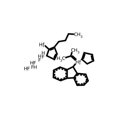 CCCCC1=[C]([Hf])CC=C1.C[C](C)=[Hf]([C]1=CC=CC1)[CH]1c2ccccc2-c2ccccc21.F.F.F.F.F